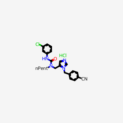 CCCCCN(Cc1cncn1Cc1ccc(C#N)cc1)C(=O)Nc1cccc(Cl)c1.Cl